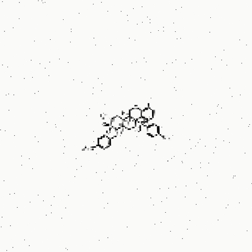 COc1ccc(CN2[C@@H]3CC[C@@]4(S(=O)(=O)c5ccc(C(F)(F)F)cc5)c5c(F)ccc(F)c5OC[C@H]4[C@@H]3C[C@@H](C)S2(=O)=O)cc1